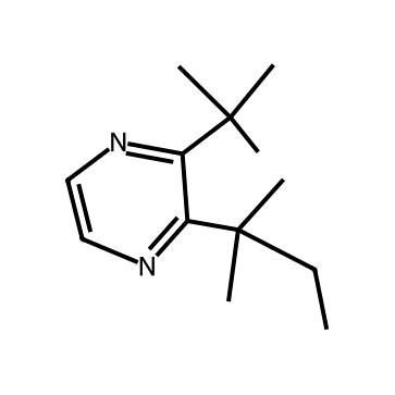 CCC(C)(C)c1nccnc1C(C)(C)C